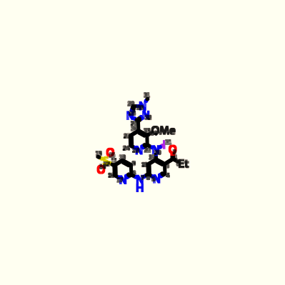 CCC(=O)c1cnc(Nc2ccc(S(C)(=O)=O)cn2)cc1N(I)c1nccc(-c2ncn(C)n2)c1OC